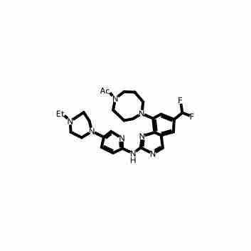 CCN1CCN(c2ccc(Nc3ncc4cc(C(F)F)cc(N5CCCN(C(C)=O)CCC5)c4n3)nc2)CC1